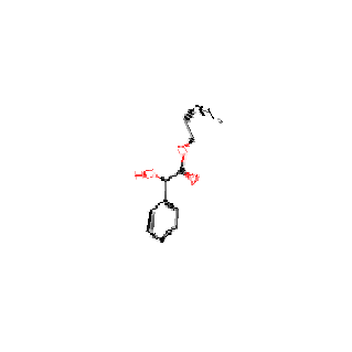 C=CCOC(=O)C(O)c1ccccc1